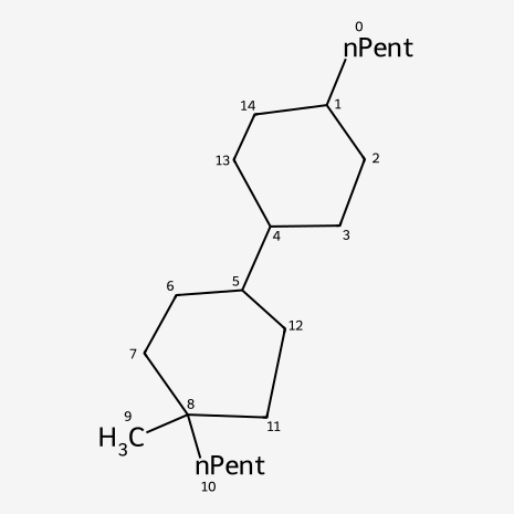 CCCCCC1CCC(C2CCC(C)(CCCCC)CC2)CC1